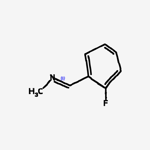 C/N=C/c1ccccc1F